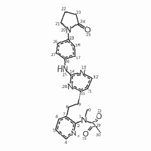 CN(c1ncccc1CCc1ccnc(Nc2ccc(N3CCCC3=O)cc2)n1)S(C)(=O)=O